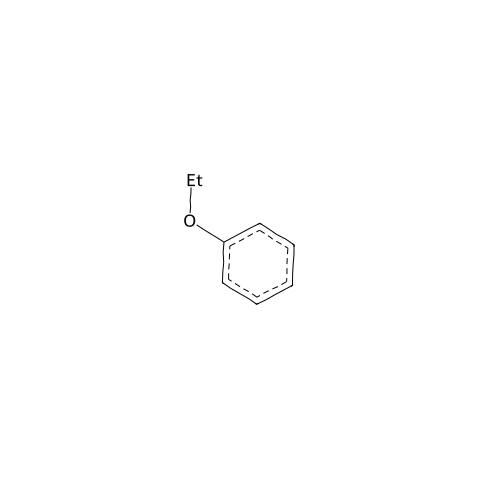 [CH]COc1ccccc1